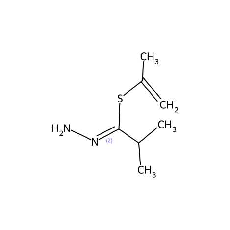 C=C(C)S/C(=N\N)C(C)C